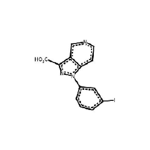 O=C(O)c1nn(-c2cccc(I)c2)c2ccncc12